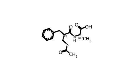 CC(=O)SC[C@@H](Cc1ccccc1)C(=O)N[C@@H](C)C(=O)O